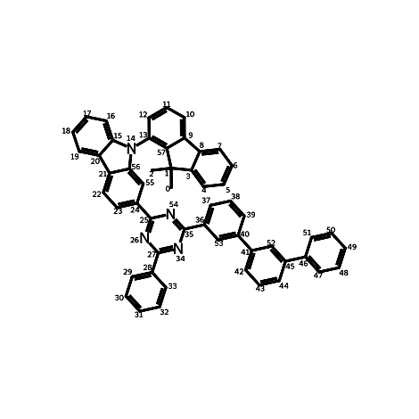 CC1(C)c2ccccc2-c2cccc(-n3c4ccccc4c4ccc(-c5nc(-c6ccccc6)nc(-c6cccc(-c7cccc(-c8ccccc8)c7)c6)n5)cc43)c21